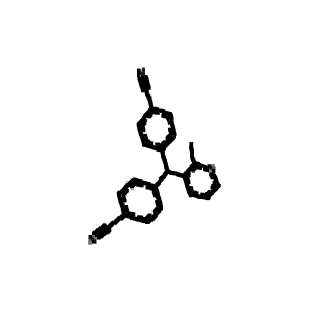 Cc1ncccc1C(c1ccc(C#N)cc1)c1ccc(C#N)cc1